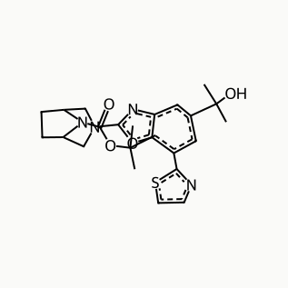 CC(C)(C)OC(=O)N1C2CCC1CN(c1nc3cc(C(C)(C)O)cc(-c4nccs4)c3o1)C2